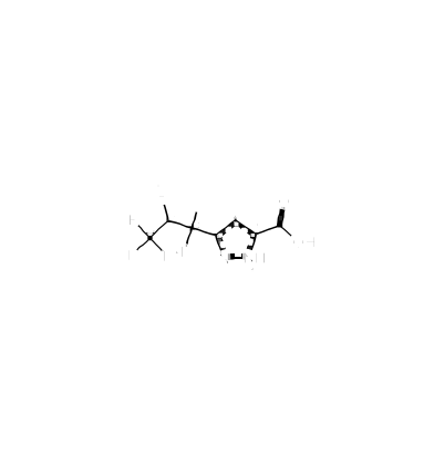 O=C(O)c1cc(C(F)(F)C(F)C(F)(F)F)n[nH]1